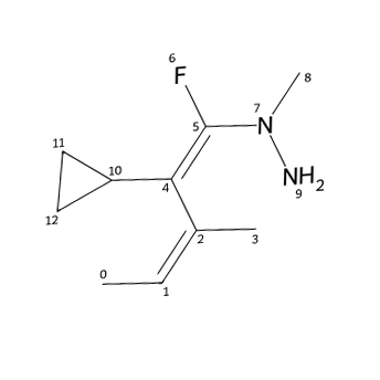 C/C=C(C)\C(=C(\F)N(C)N)C1CC1